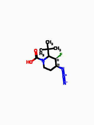 CC(C)(C)C1[C@H](F)[C@@H](N=[N+]=[N-])CCN1C(=O)O